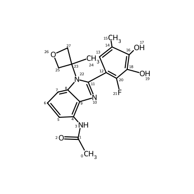 CC(=O)Nc1cccc2c1nc(-c1cc(C)c(O)c(O)c1F)n2C1(C)COC1